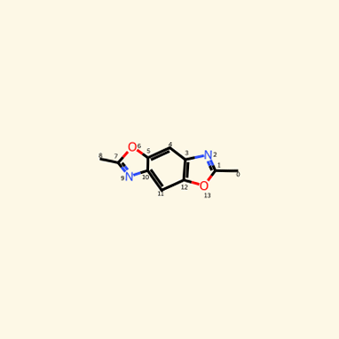 Cc1nc2cc3oc(C)nc3cc2o1